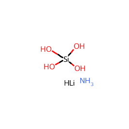 N.O[Si](O)(O)O.[LiH]